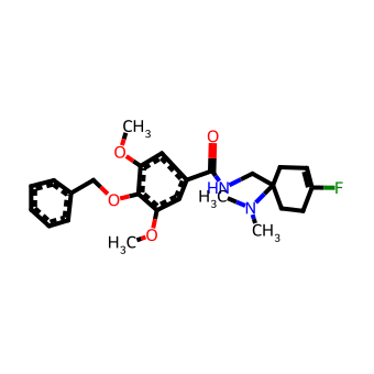 COc1cc(C(=O)NCC2(N(C)C)CC=C(F)CC2)cc(OC)c1OCc1ccccc1